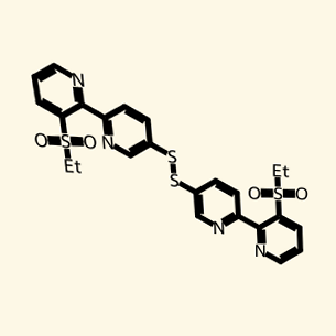 CCS(=O)(=O)c1cccnc1-c1ccc(SSc2ccc(-c3ncccc3S(=O)(=O)CC)nc2)cn1